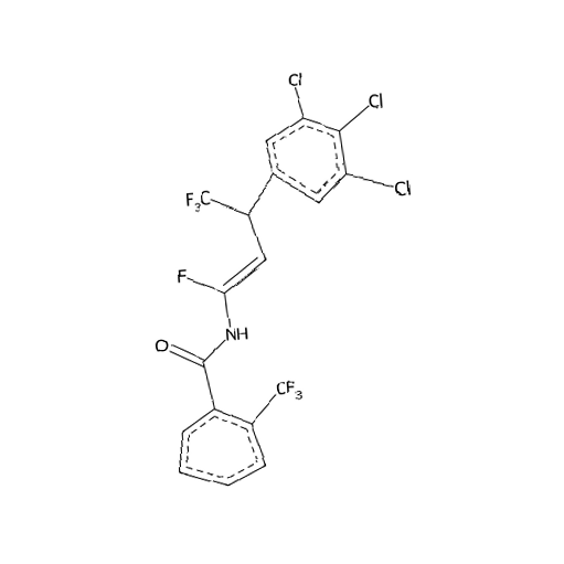 O=C(N/C(F)=C/C(c1cc(Cl)c(Cl)c(Cl)c1)C(F)(F)F)c1ccccc1C(F)(F)F